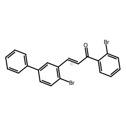 O=C(/C=C/c1cc(-c2ccccc2)ccc1Br)c1ccccc1Br